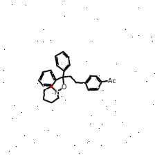 CC(=O)c1ccc(CCC(ON2CCCCC2)(c2ccccc2)c2ccccc2)cc1